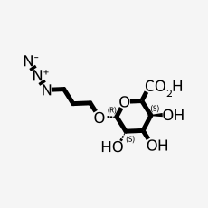 [N-]=[N+]=NCCCO[C@@H]1OC(C(=O)O)[C@@H](O)C(O)[C@@H]1O